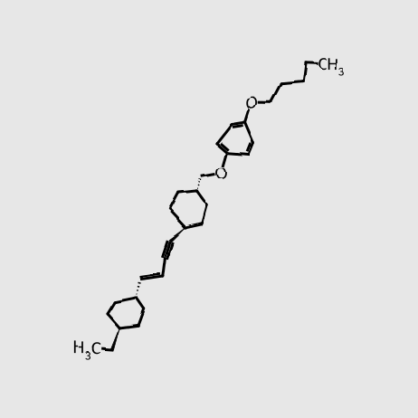 CCCCCOc1ccc(OC[C@H]2CC[C@H](C#CC=C[C@H]3CC[C@H](CC)CC3)CC2)cc1